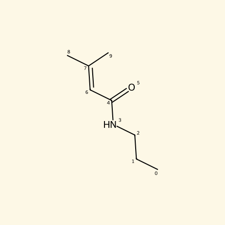 CCCNC(=O)C=C(C)C